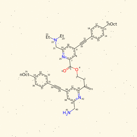 C=C(CCOC(=O)c1cc(C#Cc2ccc(CCCCCCCC)cc2)cc(CN(CC)CC)n1)c1cc(C#Cc2ccc(CCCCCCCC)cc2)cc(CN)n1